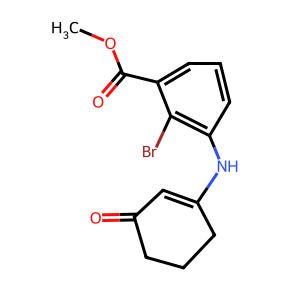 COC(=O)c1cccc(NC2=CC(=O)CCC2)c1Br